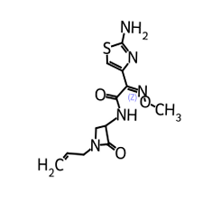 C=CCN1CC(NC(=O)/C(=N\OC)c2csc(N)n2)C1=O